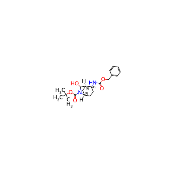 CC(C)(C)OC(=O)N1C(O)[C@@H]2C[C@H]1CC[C@H]2NC(=O)OCc1ccccc1